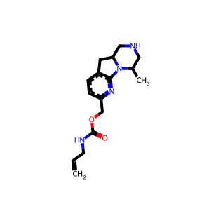 C=CCNC(=O)OCc1ccc2c(n1)N1C(C)CNCC1C2